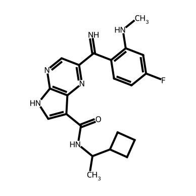 CNc1cc(F)ccc1C(=N)c1cnc2[nH]cc(C(=O)NC(C)C3CCC3)c2n1